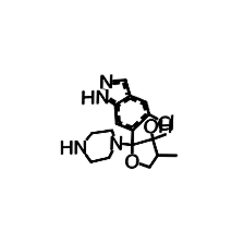 CC1COC(c2cc3[nH]ncc3cc2Cl)(N2CCNCC2)C1(C)O